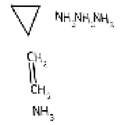 C1CC1.C=C.N.N.N.N